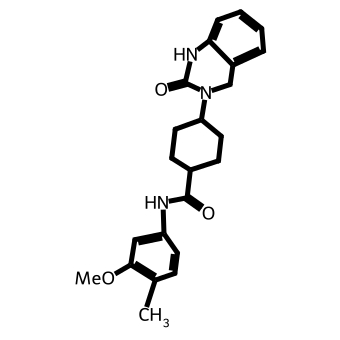 COc1cc(NC(=O)C2CCC(N3Cc4ccccc4NC3=O)CC2)ccc1C